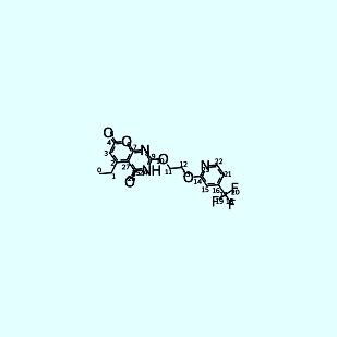 CCc1cc(=O)oc2nc(OCCOc3cc(C(F)(F)F)ccn3)[nH]c(=O)c12